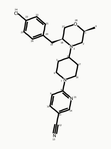 C[C@H]1CN(C2CCN(c3ccc(C#N)cn3)CC2)[C@@H](Cc2ccc(Cl)cc2)CO1